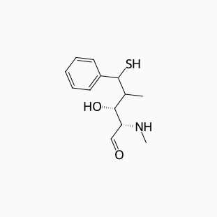 CN[C@H](C=O)[C@H](O)C(C)C(S)c1ccccc1